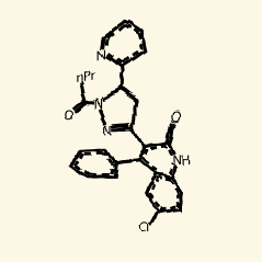 CCCC(=O)N1N=C(c2c(-c3ccccc3)c3cc(Cl)ccc3[nH]c2=O)CC1c1ccccn1